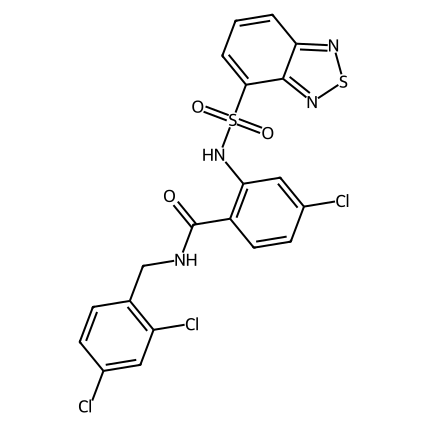 O=C(NCc1ccc(Cl)cc1Cl)c1ccc(Cl)cc1NS(=O)(=O)c1cccc2nsnc12